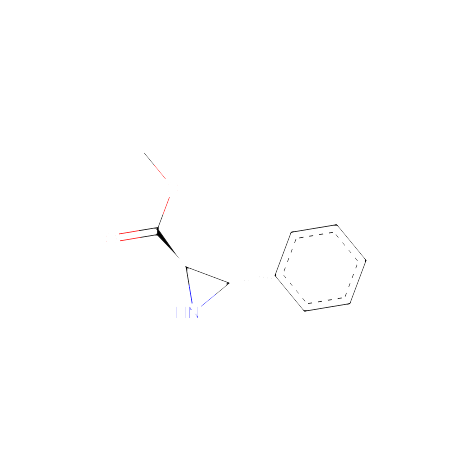 COC(=O)[C@@H]1N[C@H]1c1ccccc1